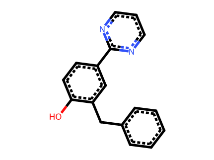 Oc1ccc(-c2ncccn2)cc1Cc1ccccc1